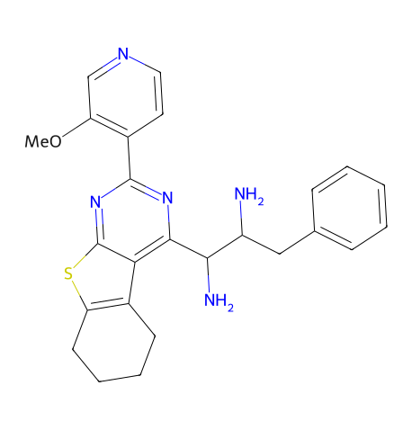 COc1cnccc1-c1nc(C(N)C(N)Cc2ccccc2)c2c3c(sc2n1)CCCC3